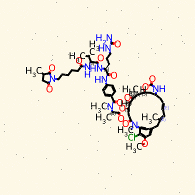 COc1cc2cc(c1Cl)N(C)C(=O)C[C@H](OC(=O)[C@H](C)N(C)C(=O)c1ccc(NC(=O)[C@H](CCCNC(N)=O)NC(=O)[C@@H](NC(=O)CCCCCN3C(=O)CC(C)C3=O)C(C)C)cc1)[C@@H]1O[C@H]1[C@H](C)[C@@H]1CC(C/C=C/C=C(\C)C2)NC(=O)O1